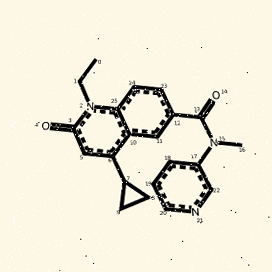 CCn1c(=O)cc(C2CC2)c2cc(C(=O)N(C)c3cccnc3)ccc21